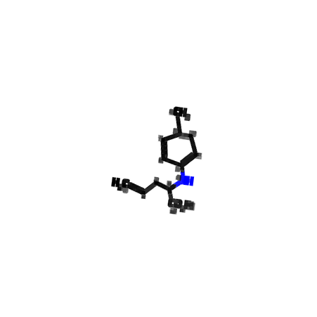 C=CCC(Nc1ccc(C)cc1)C(=O)OCC